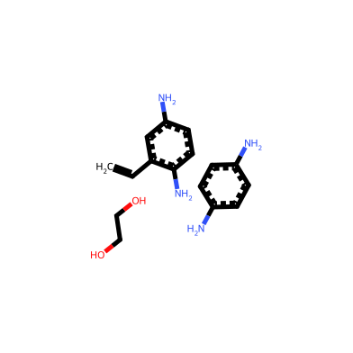 C=Cc1cc(N)ccc1N.Nc1ccc(N)cc1.OCCO